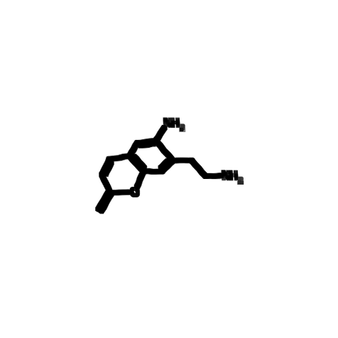 C=C1C=Cc2cc(N)c(CCN)cc2O1